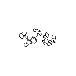 C[Si]1(C)c2ccccc2C2(c3ccccc3-c3cccc4cccc2c34)c2ccc(N(c3ccccc3)c3ccc4c5ccccc5n(-c5cccc6ccccc56)c4c3)cc21